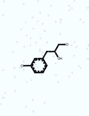 OC(CCl)Cc1cccc(Cl)c1